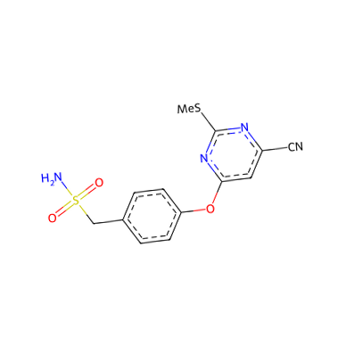 CSc1nc(C#N)cc(Oc2ccc(CS(N)(=O)=O)cc2)n1